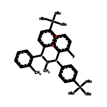 CCCC[Si](CCCC)(CCCC)c1ccc(P(c2ccccc2C)N(C)P(c2ccc([Si](CCCC)(CCCC)CCCC)cc2)c2ccccc2F)cc1